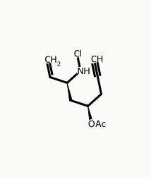 C#CC[C@H](C[C@@H](C=C)NCl)OC(C)=O